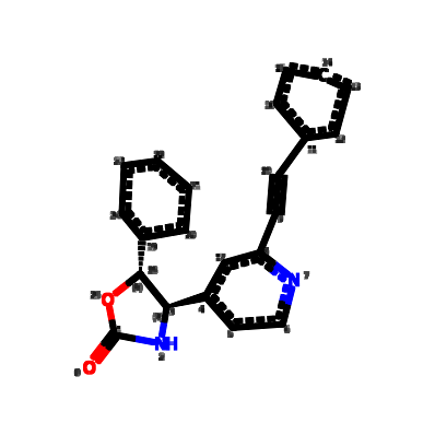 O=C1N[C@H](c2ccnc(C#Cc3ccccc3)c2)[C@@H](c2ccccc2)O1